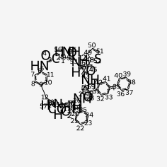 N[C@H]1CC(=O)Nc2ccc(cc2)C[C@@H](C(=O)O)NC(=O)[C@@H](Cc2ccccc2)NC(=O)[C@H](Cc2ccc(-c3ccccc3)cc2)NC(=O)[C@@H](CC2CC=CS2)NC1=O